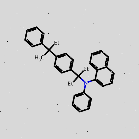 CCC(C)(c1ccccc1)c1ccc(C(CC)(CC)N(c2ccccc2)c2cccc3ccccc23)cc1